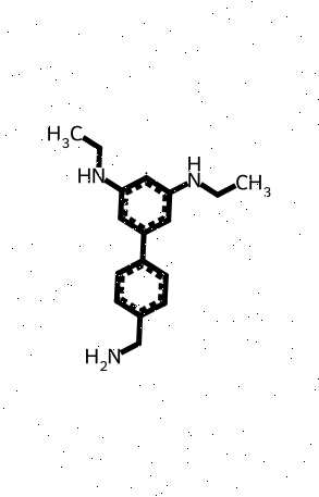 CCNc1[c]c(NCC)cc(-c2ccc(CN)cc2)c1